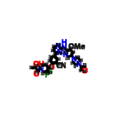 COc1cc(N2CCN(C3COC3)CC2)cnc1Nc1nccc(-c2ccc(OC3CCN(C(=O)C(C)O)CC3(F)F)c(C#N)c2)n1